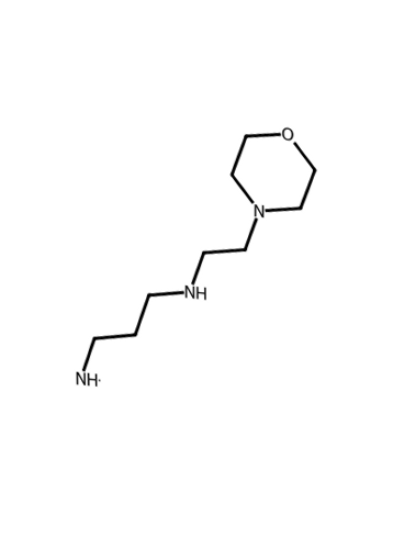 [NH]CCCNCCN1CCOCC1